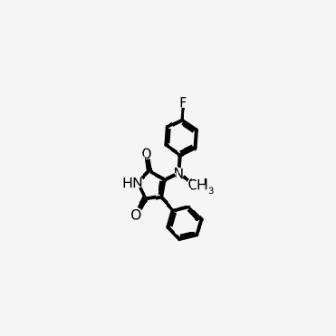 CN(C1=C(c2ccccc2)C(=O)NC1=O)c1ccc(F)cc1